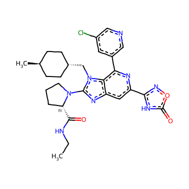 CCNC(=O)[C@@H]1CCCN1c1nc2cc(-c3noc(=O)[nH]3)nc(-c3cncc(Cl)c3)c2n1C[C@H]1CC[C@H](C)CC1